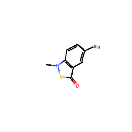 Cn1sc(=O)c2cc(C(C)(C)C)ccc21